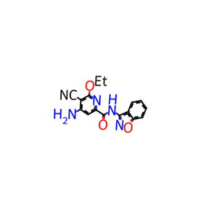 CCOc1nc(C(=O)Nc2noc3ccccc23)cc(N)c1C#N